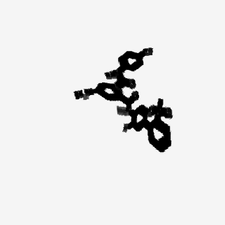 CS(=O)(=O)c1ccccc1-c1ccc(NC(=O)C2CC(N)CN2C(=O)Nc2ccc(Cl)cc2)c(F)c1